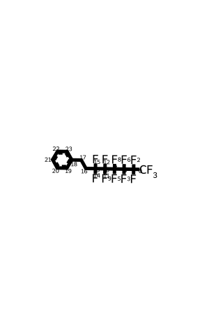 FC(F)(F)C(F)(F)C(F)(F)C(F)(F)C(F)(F)C(F)(F)CCc1ccccc1